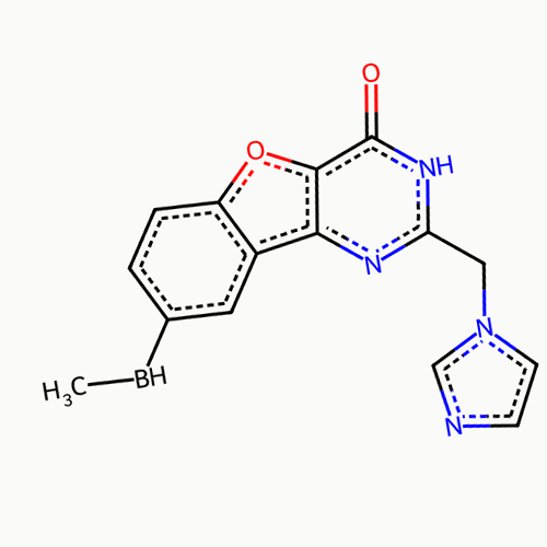 CBc1ccc2oc3c(=O)[nH]c(Cn4ccnc4)nc3c2c1